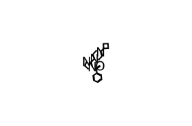 O=C(c1ccccc1)N1CCN=C1N1CCN(C2CCC2)CC1